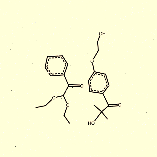 CC(C)(O)C(=O)c1ccc(OCCO)cc1.CCOC(OCC)C(=O)c1ccccc1